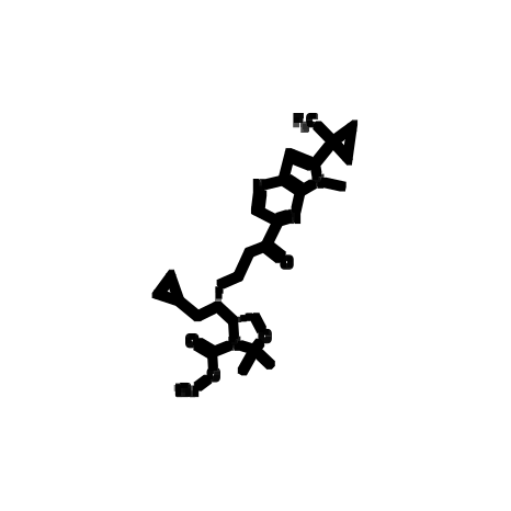 Cn1c(C2(C(F)(F)F)CC2)cc2ncc(C(=O)CCC[C@@H](CC3CC3)[C@@H]3COC(C)(C)N3C(=O)OC(C)(C)C)nc21